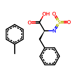 Cc1ccccc1.O=C(O)[C@H](Cc1ccccc1)N=S(=O)=O